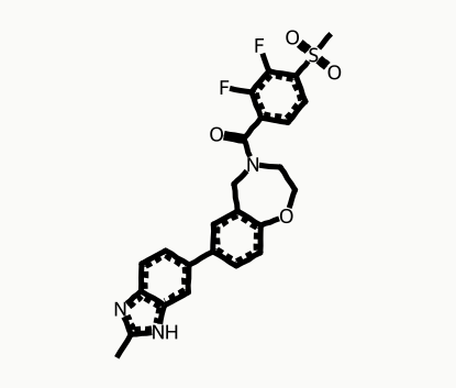 Cc1nc2ccc(-c3ccc4c(c3)CN(C(=O)c3ccc(S(C)(=O)=O)c(F)c3F)CCO4)cc2[nH]1